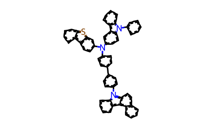 c1ccc(-n2c3ccccc3c3cc(N(c4ccc(-c5ccc(-n6c7ccccc7c7c8ccccc8ccc76)cc5)cc4)c4ccc5c(c4)sc4ccccc45)ccc32)cc1